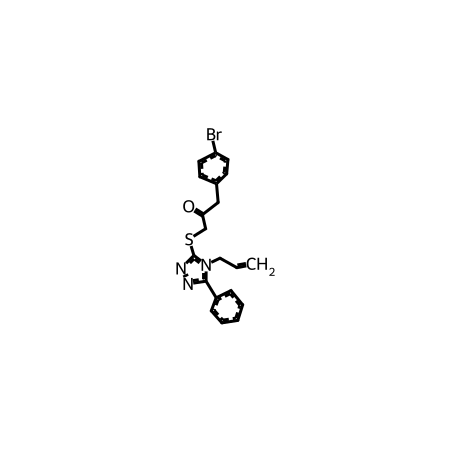 C=CCn1c(SCC(=O)Cc2ccc(Br)cc2)nnc1-c1ccccc1